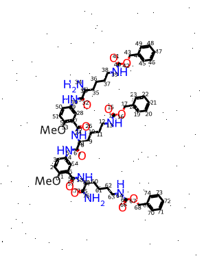 COc1ccc(NC(=O)[C@H](CCCCNC(=O)OCc2ccccc2)NC(=O)c2cc(NC(=O)[C@@H](N)CCCCNC(=O)OCc3ccccc3)ccc2OC)cc1C(=O)N[C@@H](CCCCNC(=O)OCc1ccccc1)C(N)=O